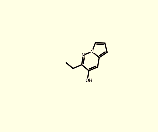 CCc1nn2cccc2cc1O